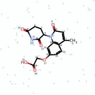 Cc1cc(=O)n(C2CCC(=O)NC2=O)c2cc(OCC(=O)O)ccc12